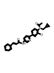 CC(=O)N(CC1CC1)c1ccc(-c2ccc(NC(=O)/C=C/c3ccccc3)cn2)cc1Cl